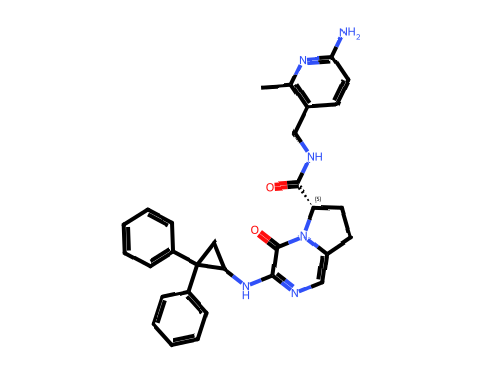 Cc1nc(N)ccc1CNC(=O)[C@@H]1CCc2cnc(NC3CC3(c3ccccc3)c3ccccc3)c(=O)n21